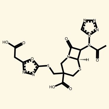 CC(=O)N(C1C(=O)N2CC(CSc3nnc(CC(=O)O)o3)(C(=O)O)CS[C@H]12)n1cnnn1